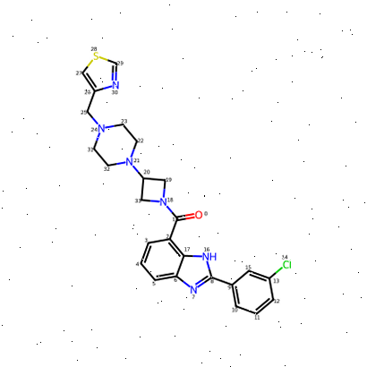 O=C(c1cccc2nc(-c3cccc(Cl)c3)[nH]c12)N1CC(N2CCN(Cc3cscn3)CC2)C1